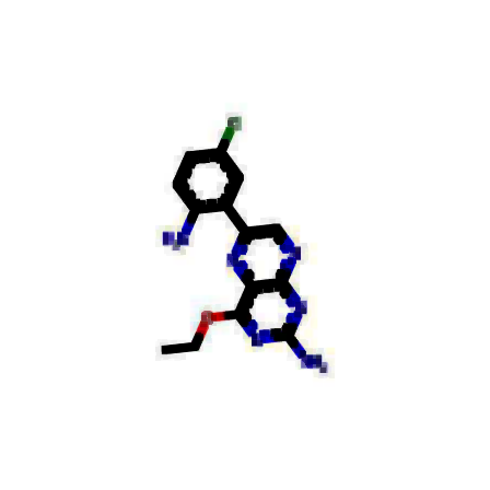 CCOc1nc(N)nc2ncc(-c3cc(Cl)ccc3N)nc12